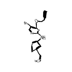 C#CCOc1nc(Nc2cccc(CO)c2)ncc1Br